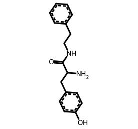 NC(Cc1ccc(O)cc1)C(=O)NCCc1ccccc1